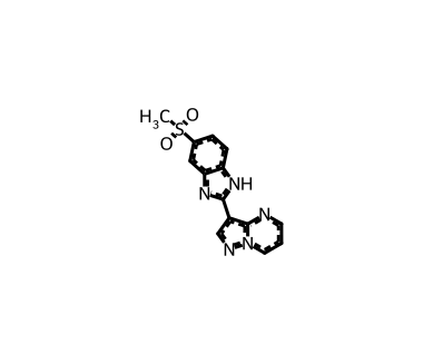 CS(=O)(=O)c1ccc2[nH]c(-c3cnn4cccnc34)nc2c1